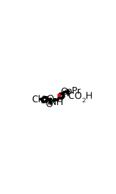 CCCC(CC(=O)O)Oc1ccc(CCNS(=O)(=O)c2ccc(Cl)cc2)cc1